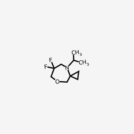 CC(C)N1CC(F)(F)COCC12CC2